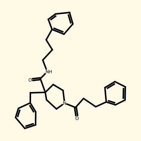 O=C(CCc1ccccc1)N1CCC(Cc2ccccc2)(C(=O)NCCCc2ccccc2)CC1